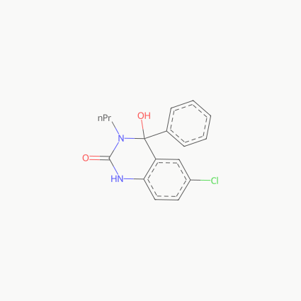 CCCN1C(=O)Nc2ccc(Cl)cc2C1(O)c1ccccc1